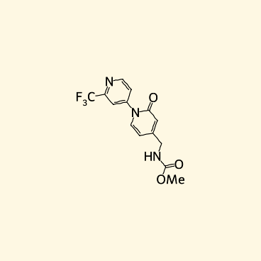 COC(=O)NCc1ccn(-c2ccnc(C(F)(F)F)c2)c(=O)c1